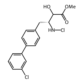 COC(=O)C(O)[C@@H](Cc1ccc(-c2cccc(Cl)c2)cc1)NCl